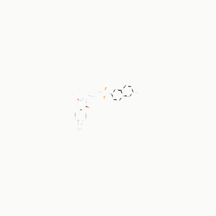 O=C1CC2(CCNCC2)C(=O)N1CCCS(=O)(=O)c1ccc2cc(Cl)ccc2c1